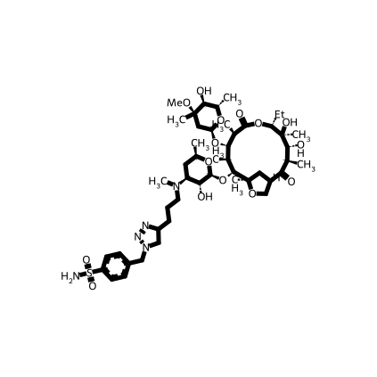 CC[C@H]1OC(=O)[C@H](C)[C@@H](O[C@H]2C[C@@](C)(OC)[C@@H](O)[C@H](C)O2)[C@H](C)[C@@H](O[C@@H]2O[C@H](C)C[C@H](N(C)CCCC3CN(Cc4ccc(S(N)(=O)=O)cc4)N=N3)[C@H]2O)[C@@]2(C)C[C@@H](CO2)C(=O)[C@H](C)[C@@H](O)[C@]1(C)O